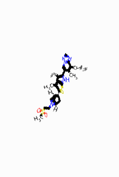 Cc1c(-c2[nH]c3sc([C@@H]4C[C@@H]5C[C@H]4CN5CCS(C)(=O)=O)c(C)c3c2C(C)C)cn2ncnc2c1C